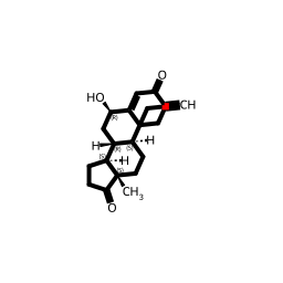 C#CCC12CCC(=O)C=C1[C@H](O)C[C@@H]1[C@@H]2CC[C@]2(C)C(=O)CC[C@@H]12